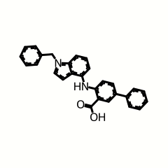 O=C(O)c1cc(-c2ccccc2)ccc1Nc1cccc2c1ccn2Cc1ccccc1